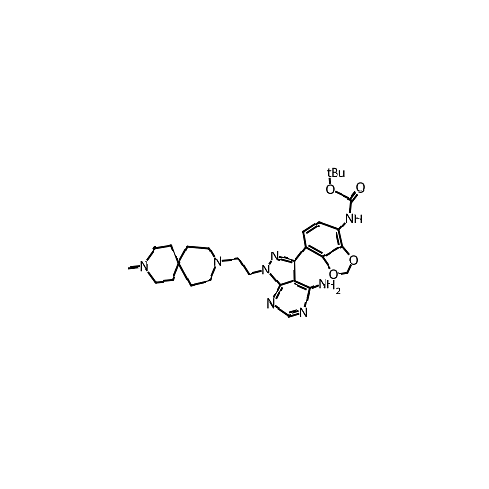 CN1CCC2(CC1)CCN(CCn1nc(-c3ccc(NC(=O)OC(C)(C)C)c4c3OCO4)c3c(N)ncnc31)CC2